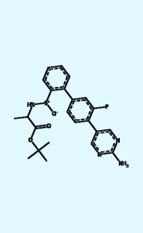 CC(N[S+]([O-])c1ccccc1-c1ccc(-c2cnc(N)nc2)c(F)c1)C(=O)OC(C)(C)C